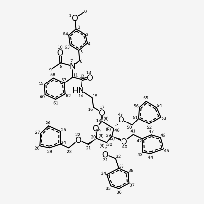 COc1ccc(CN(C(C)=O)C(C(=O)NCCO[C@@H]2O[C@H](COCc3ccccc3)[C@@H](OCc3ccccc3)[C@H](OCc3ccccc3)[C@H]2OCc2ccccc2)c2ccccc2)cc1